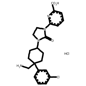 Cl.NCC1(c2cccc(Cl)c2)CCC(N2CCN(c3cccc(C(=O)O)n3)C2=O)CC1